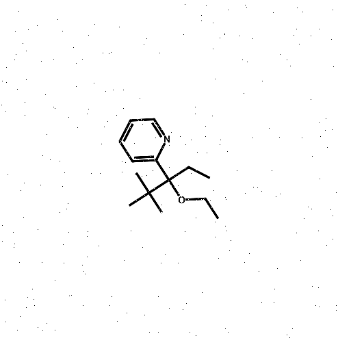 CCOC(CC)(c1ccccn1)C(C)(C)C